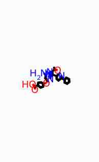 CC(=O)c1nn2c(N)cc(Oc3ccc(C(=O)O)cc3)nc2c1-c1ccc(-c2ccccc2)nc1